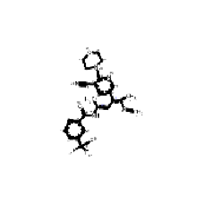 C=N/C(C)=C(\C=C(/C)NC(=O)c1cccc(C(F)(F)F)c1)c1cnc(N2CCOCC2)c(C#N)c1